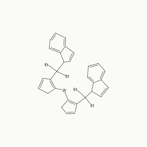 CCC(CC)(C1=[C]([Zr][C]2=C(C(CC)(CC)C3C=Cc4ccccc43)C=CC2)CC=C1)C1C=Cc2ccccc21